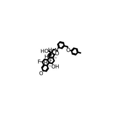 Cc1ccc(OCc2cccc(N3C[C@@H]4C[C@H]5[C@@H]6C[C@H](F)C7=CC(=O)C=C[C@]7(C)[C@@]6(F)[C@@H](O)C[C@]5(C)[C@]4(C(=O)CO)O3)c2)cc1